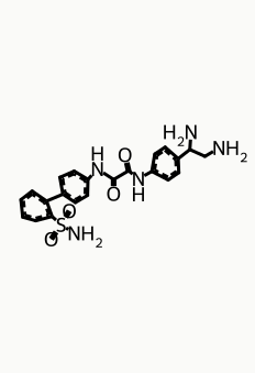 NCC(N)c1ccc(NC(=O)C(=O)Nc2ccc(-c3ccccc3S(N)(=O)=O)cc2)cc1